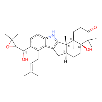 CC(C)=CCc1c([C@H](O)C2OC2(C)C)ccc2[nH]c3c(c12)C[C@@H]1CC[C@@]2(O)C(C)(C)C(=O)CC[C@]2(C)[C@@]31C